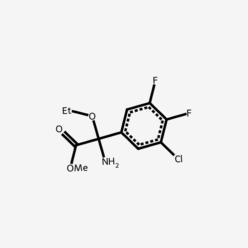 CCOC(N)(C(=O)OC)c1cc(F)c(F)c(Cl)c1